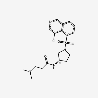 CN(C)CCC(=O)N[C@@H]1CCN(S(=O)(=O)c2cccc3cncc(Cl)c23)C1